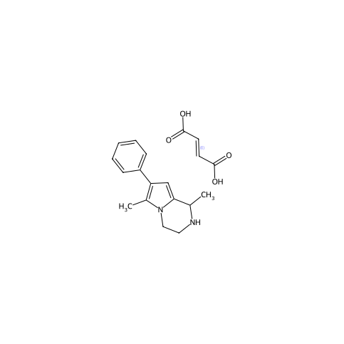 Cc1c(-c2ccccc2)cc2n1CCNC2C.O=C(O)/C=C/C(=O)O